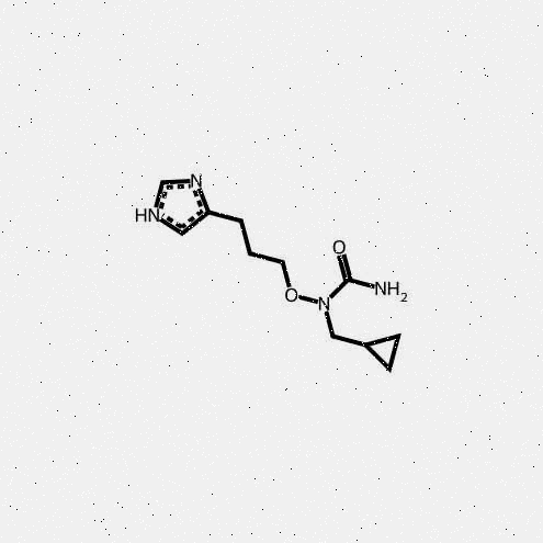 NC(=O)N(CC1CC1)OCCCc1c[nH]cn1